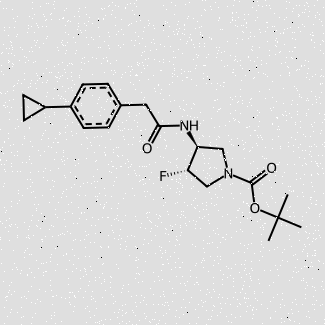 CC(C)(C)OC(=O)N1C[C@H](NC(=O)Cc2ccc(C3CC3)cc2)[C@@H](F)C1